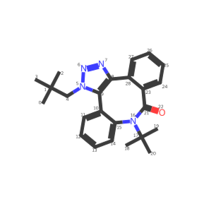 CC(C)(C)Cn1nnc2c1-c1ccccc1N(C(C)(C)C)C(=O)c1ccccc1-2